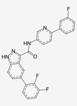 O=C(Nc1ccc(-c2cccc(F)c2)nc1)c1n[nH]c2ccc(-c3cccc(F)c3F)cc12